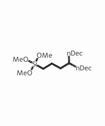 CCCCCCCCCC[C](CCCCCCCCCC)CCC[Si](OC)(OC)OC